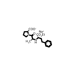 CCOC(=O)[C@H](CCc1ccccc1)N[C@@H](C)C(=O)N1CCC[C@H]1C(=O)[O-].[Na+]